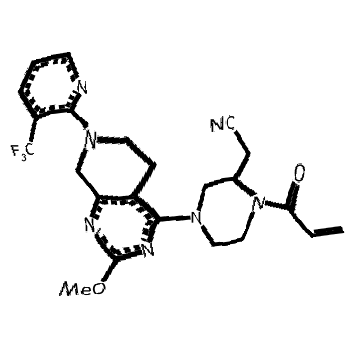 C=CC(=O)N1CCN(c2nc(OC)nc3c2CCN(c2ncccc2C(F)(F)F)C3)CC1CC#N